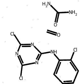 C=O.Clc1nc(Cl)nc(Nc2ccccc2Cl)n1.NC(N)=O